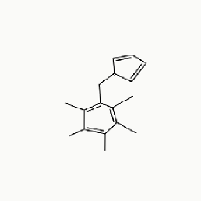 Cc1c(C)c(C)c(C[C]2C=CC=C2)c(C)c1C